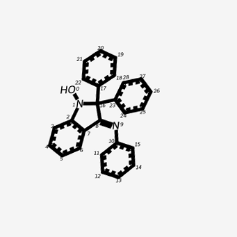 ON1c2ccccc2C(=Nc2ccccc2)C1(c1ccccc1)c1ccccc1